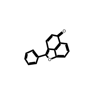 O=C1C=Cc2c(-c3ccccc3)oc3cccc1c23